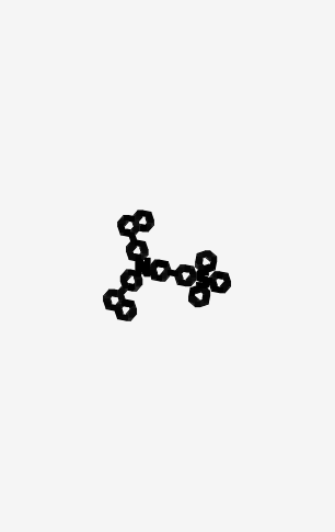 c1ccc(S(c2ccccc2)(c2ccccc2)c2ccc(-c3ccc(N(c4ccc(-c5cccc6ccccc56)cc4)c4ccc(-c5cccc6ccccc56)cc4)cc3)cc2)cc1